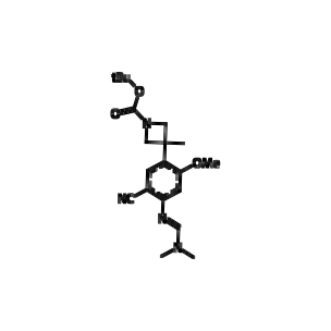 COc1cc(/N=C/N(C)C)c(C#N)cc1C1(C)CN(C(=O)OC(C)(C)C)C1